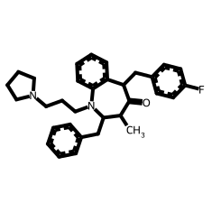 CC1C(=O)C(Cc2ccc(F)cc2)c2ccccc2N(CCCN2CCCC2)C1Cc1ccccc1